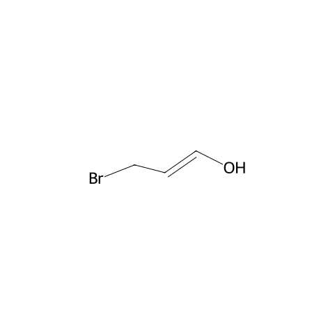 OC=CCBr